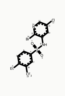 CCc1ccc(S(=O)(=O)Nc2cc(Cl)cnc2Br)cc1C(F)(F)F